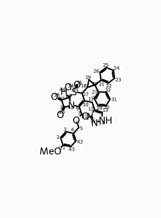 COc1ccc(COC(=O)C2=C(Cc3c[nH]nn3)C(C3CC3(c3ccccc3)c3ccccc3)S(=O)(=O)[C@H]3C(=O)C(=O)N23)cc1